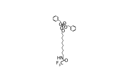 O=C(NCCCCCCCCCCOOP(=O)(OCc1ccccc1)OCc1ccccc1)C(F)(F)F